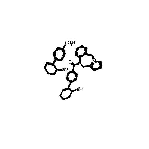 CC(C)(C)C1CCCC=C1c1ccc(C(=O)N2Cc3cccn3Cc3ccccc32)cc1.CC(C)(C)C1CCCC=C1c1ccc(C(=O)O)cc1